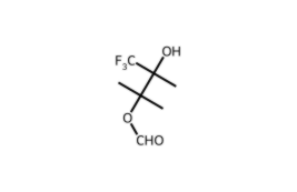 CC(C)(OC=O)C(C)(O)C(F)(F)F